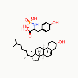 CC(C)CCC[C@@H](C)[C@H]1CC[C@H]2[C@@H]3CC=C4C[C@@H](O)CC[C@]4(C)[C@H]3CC[C@]12C.O=C(O)C(Cc1ccc(O)cc1)NP(=O)(O)O